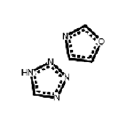 c1cocn1.c1nnn[nH]1